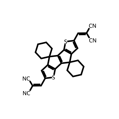 N#CC(C#N)=Cc1cc2c(s1)C1=C(c3sc(C=C(C#N)C#N)cc3C13CCCCC3)C21CCCCC1